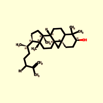 C=C(C)C(CC)CC[C@H](C)[C@@H]1CC[C@@]2(C)[C@@H]3CCC4C(C)(C)[C@@H](O)CC[C@@]45C[C@@]35CC[C@]12C